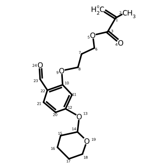 C=C(C)C(=O)OCCCOc1cc(OC2CCCCO2)ccc1C=O